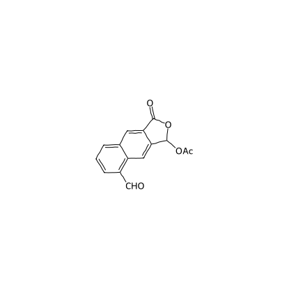 CC(=O)OC1OC(=O)c2cc3cccc(C=O)c3cc21